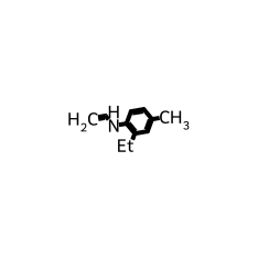 C=CNc1ccc(C)cc1CC